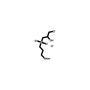 CCCCCCCCCCCC[N+](CC)(CC)CC(O)CCl.[Cl-]